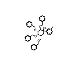 Cc1cccc(C2(O)C[C@H](COCc3ccccc3)[C@@H](OCc3ccccc3)[C@H](OCc3ccccc3)[C@H]2OCc2ccccc2)c1